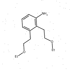 CCOCCc1cccc(N)c1CCOCC